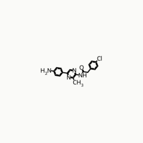 Cc1nc(-c2ccc(N)cc2)cnc1NC(=O)Cc1ccc(Cl)cc1